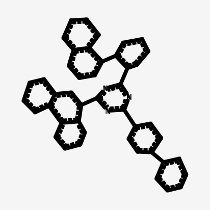 c1ccc(-c2ccc(-c3nc(-c4ccccc4-c4cccc5ccccc45)nc(-c4cc5ccccc5c5ccccc45)n3)cc2)cc1